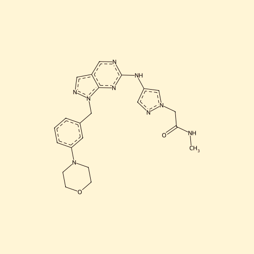 CNC(=O)Cn1cc(Nc2ncc3cnn(Cc4cccc(N5CCOCC5)c4)c3n2)cn1